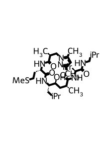 CSCC[C@H](NC(=O)[C@@H](C)Cn1nc(C)cc1C)C(=O)N[C@@H](CC(C)C)[C@@H](O)C[C@@H](C)C(=O)N[C@H](C(=O)NCC(C)C)C(C)C